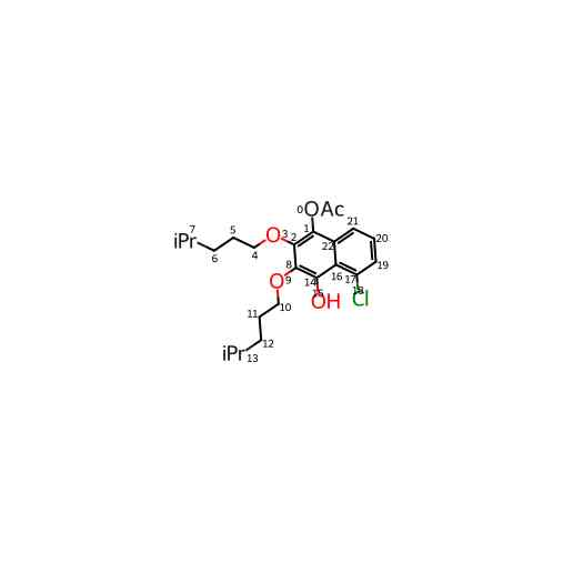 CC(=O)Oc1c(OCCCC(C)C)c(OCCCC(C)C)c(O)c2c(Cl)cccc12